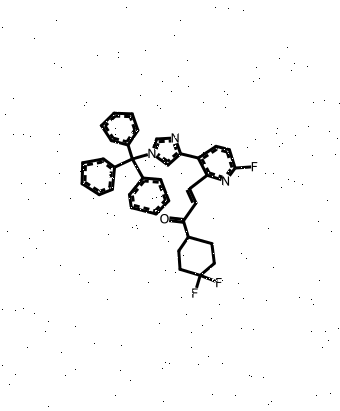 O=C(/C=C/c1nc(F)ccc1-c1cn(C(c2ccccc2)(c2ccccc2)c2ccccc2)cn1)C1CCC(F)(F)CC1